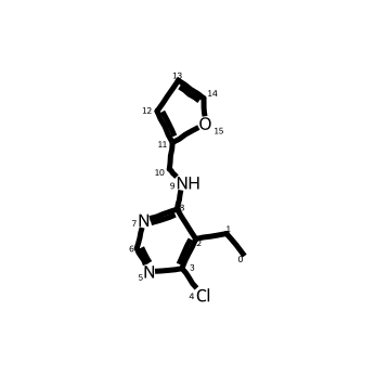 CCc1c(Cl)ncnc1NCc1ccco1